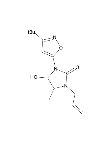 C=CCN1C(=O)N(c2cc(C(C)(C)C)no2)C(O)C1C